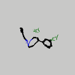 C#CCN1CC=C(c2cccc(Cl)c2)CC1.Cl